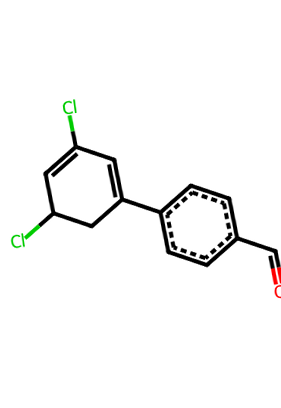 O=Cc1ccc(C2=CC(Cl)=CC(Cl)C2)cc1